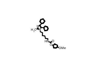 COc1ccc(OC(=O)NCCCCCCn2c(C)nc(-c3ccccc3)c2-c2ccccc2)cc1